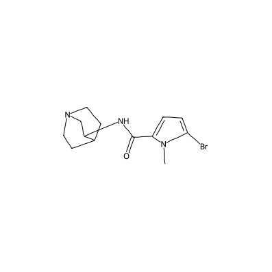 Cn1c(Br)ccc1C(=O)NC1CN2CCC1CC2